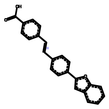 O=C(O)c1ccc(/C=C/c2ccc(-c3cc4ccccc4o3)cc2)cc1